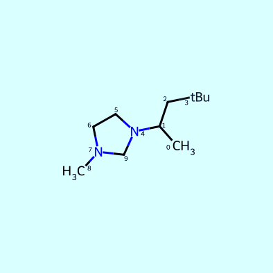 CC(CC(C)(C)C)N1CCN(C)C1